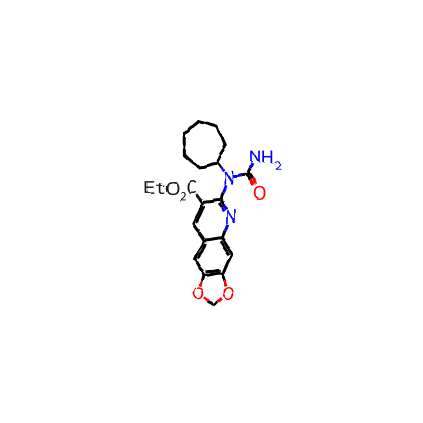 CCOC(=O)c1cc2cc3c(cc2nc1N(C(N)=O)C1CCCCCC1)OCO3